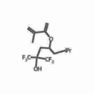 C=C(C)C(=C)OC(CC(C)C)CC(O)(C(F)(F)F)C(F)(F)F